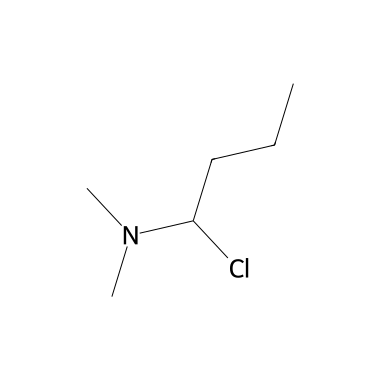 CCCC(Cl)N(C)C